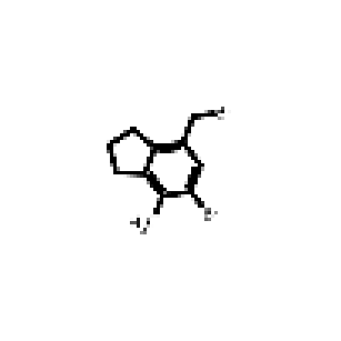 Cc1c(Br)cc(CBr)c2c1CCC2